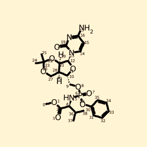 COC(=O)[C@@H](NP(=O)(OC[C@H]1O[C@@H](n2ccc(N)nc2=O)[C@@H]2OC(C)(C)OC[C@@H]21)Oc1ccccc1)C(C)C